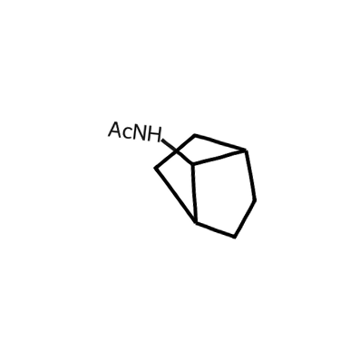 CC(=O)NC1C2CCC1CC2